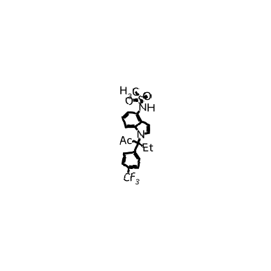 CCC(C(C)=O)(c1ccc(C(F)(F)F)cc1)n1ccc2c(NS(C)(=O)=O)cccc21